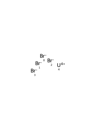 [Br-].[Br-].[Br-].[Br-].[U+4]